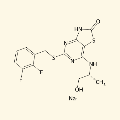 C[C@H](CO)Nc1nc(SCc2cccc(F)c2F)nc2[nH]c(=O)sc12.[Na]